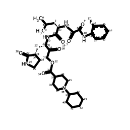 CC(C)C[C@H](NC(=O)C(=O)Nc1ccccc1F)C(=O)N[C@@H](C[C@@H]1CCNC1=O)C(=O)COC(=O)C1CCN(C2CCCCC2)CC1